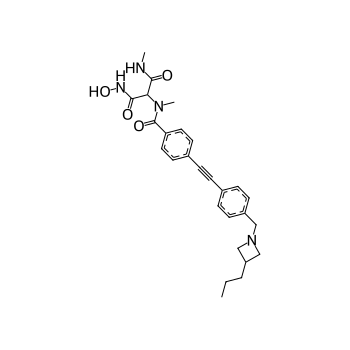 CCCC1CN(Cc2ccc(C#Cc3ccc(C(=O)N(C)C(C(=O)NC)C(=O)NO)cc3)cc2)C1